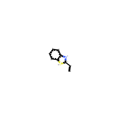 C=Cc1nc2ccc[c]c2s1